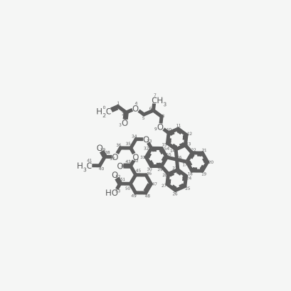 C=CC(=O)OCC(C)COc1ccc2c(c1)C1(c3ccccc3-2)c2ccccc2-c2ccc(OCC(COC(=O)CC)OC(=O)C3CC=CCC3C(=O)O)cc21